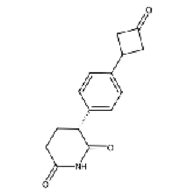 O=C1CC(c2ccc([C@H]3CCC(=O)NC3=O)cc2)C1